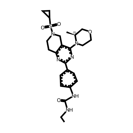 CCNC(=O)Nc1ccc(-c2nc3c(c(N4CCOC[C@@H]4C)n2)CN(S(=O)(=O)C2CC2)CC3)cc1